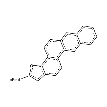 CCCCCc1cc2ccc3c4cc5ccccc5cc4ccc3c2o1